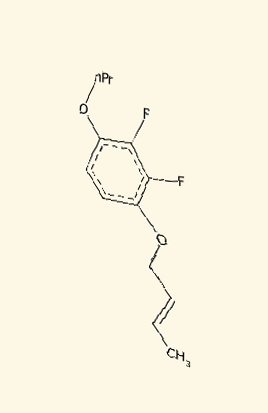 C/C=C/COc1ccc(OCCC)c(F)c1F